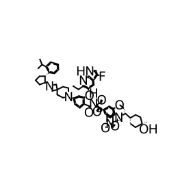 CCc1nc2[nH]cc(F)c2cc1Oc1cc(N2CCC3(CC2)CN(C2CCC[C@@H]2c2ccccc2C(C)C)C3)ccc1C(=O)NS(=O)(=O)c1cc2c(c([N+](=O)[O-])c1)N[C@@H]([C@H]1CC[C@](C)(O)CC1)CO2